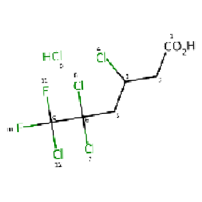 Cl.O=C(O)CC(Cl)CC(Cl)(Cl)C(F)(F)Cl